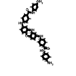 Nc1ccc(NC(=O)c2ccc(Nc3ccc4c(c3)Nc3cc(Nc5ccc(C(=O)Nc6ccc(N)cc6)cc5)ccc3O4)cc2)cc1